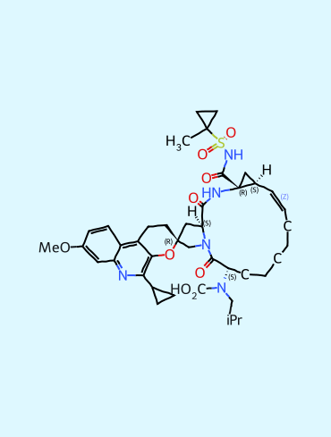 COc1ccc2c3c(c(C4CC4)nc2c1)O[C@]1(CC3)C[C@H]2C(=O)N[C@]3(C(=O)NS(=O)(=O)C4(C)CC4)C[C@H]3/C=C\CCCCC[C@H](N(CC(C)C)C(=O)O)C(=O)N2C1